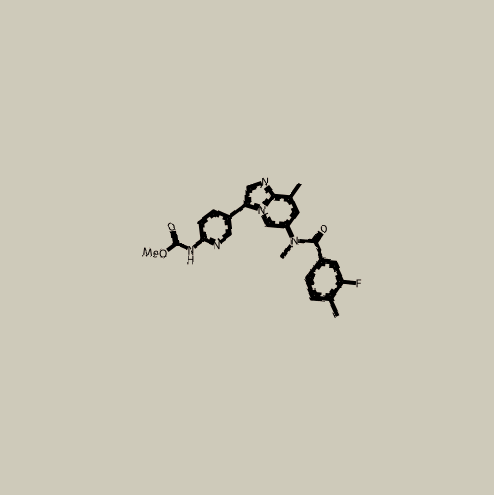 COC(=O)Nc1ccc(-c2cnc3c(C)cc(N(C)C(=O)c4ccc(C)c(F)c4)cn23)cn1